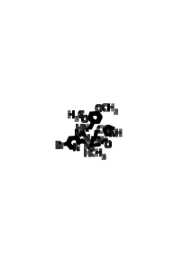 CCCC[C@](C)(CNC(=O)[C@@H]1CCCN1)Nc1nc(NCc2ccc(OC)cc2OC)nc2cc(Br)cnc12